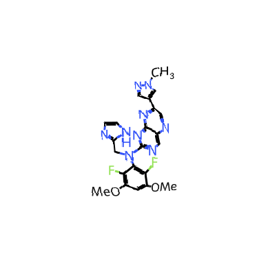 COc1cc(OC)c(F)c(N(Cc2ncc[nH]2)c2ncc3ncc(-c4cnn(C)c4)nc3n2)c1F